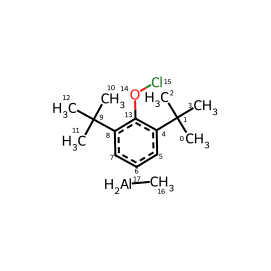 CC(C)(C)c1cccc(C(C)(C)C)c1OCl.[CH3][AlH2]